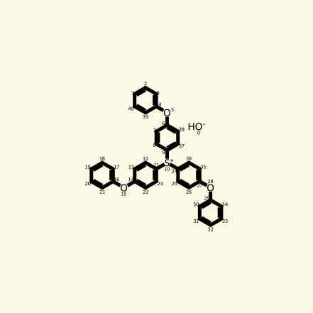 [OH-].c1ccc(Oc2ccc([S+](c3ccc(Oc4ccccc4)cc3)c3ccc(Oc4ccccc4)cc3)cc2)cc1